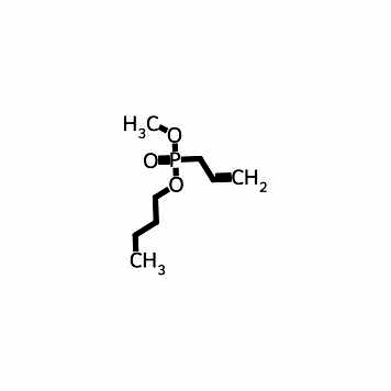 C=CCP(=O)(OC)OCCCC